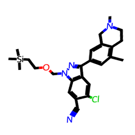 Cc1cc(-c2nn(COCC[Si](C)(C)C)c3cc(C#N)c(Cl)cc23)cc2c1CCN(C)C2